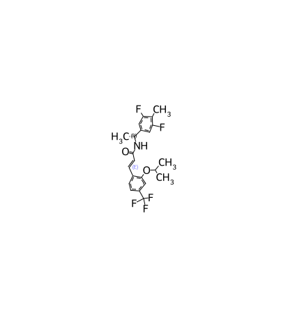 Cc1c(F)cc([C@@H](C)NC(=O)/C=C/c2ccc(C(F)(F)F)cc2OC(C)C)cc1F